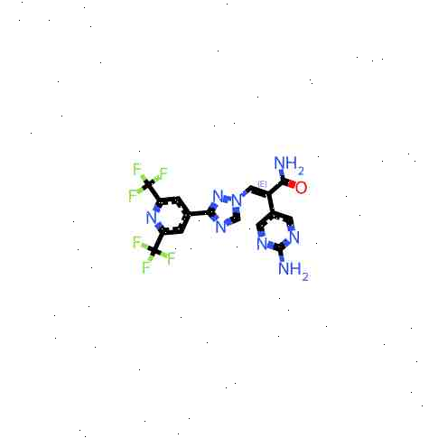 NC(=O)/C(=C/n1cnc(-c2cc(C(F)(F)F)nc(C(F)(F)F)c2)n1)c1cnc(N)nc1